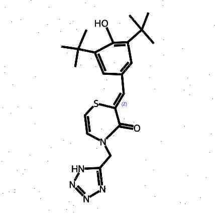 CC(C)(C)c1cc(/C=C2\SC=CN(Cc3nnn[nH]3)C2=O)cc(C(C)(C)C)c1O